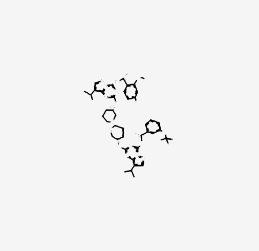 CC(C)c1cnn2c(N[C@@H](C)c3cccc(OC(F)(F)F)c3)nc(O[C@@H]3CCCNC3)nc12.COc1cc(F)ccc1[C@H](C)Nc1nc(O[C@@H]2CCCNC2)nc2c(C(C)C)cnn12